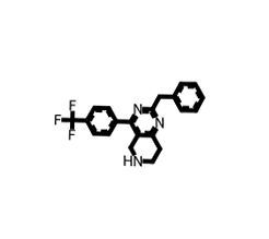 FC(F)(F)c1ccc(-c2nc(Cc3ccccc3)nc3c2CNCC3)cc1